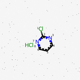 Cl.Clc1ncccn1